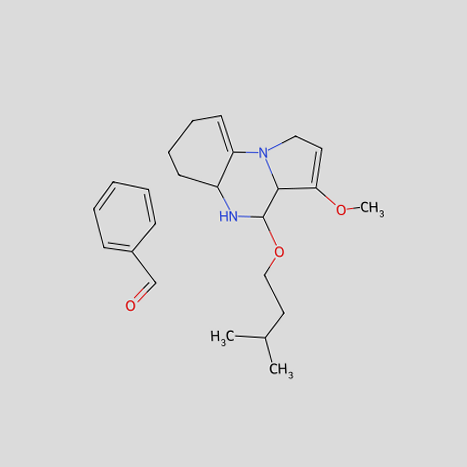 COC1=CCN2C3=CCCCC3NC(OCCC(C)C)C12.O=Cc1ccccc1